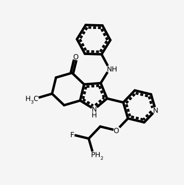 CC1CC(=O)c2c([nH]c(-c3ccncc3OCC(F)P)c2Nc2ccccc2)C1